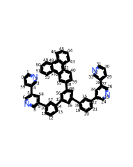 c1cncc(-c2cncc(-c3cccc(-c4cc(-c5cccc(-c6cncc(-c7cccnc7)c6)c5)cc(-c5ccc6c7ccccc7c7ccccc7c6c5)c4)c3)c2)c1